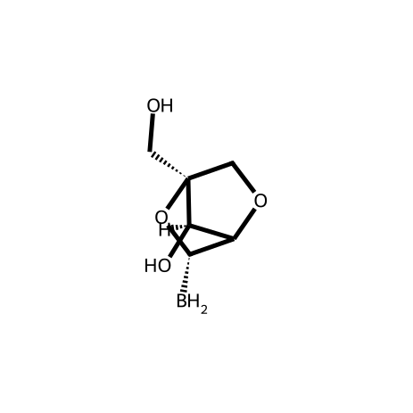 B[C@@H]1O[C@@]2(CO)COC1[C@H]2O